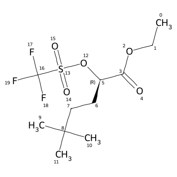 CCOC(=O)[C@@H](CCC(C)(C)C)OS(=O)(=O)C(F)(F)F